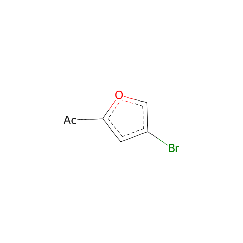 CC(=O)c1cc(Br)co1